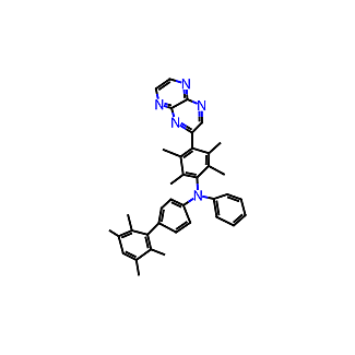 Cc1cc(C)c(C)c(-c2ccc(N(c3ccccc3)c3c(C)c(C)c(-c4cnc5nccnc5n4)c(C)c3C)cc2)c1C